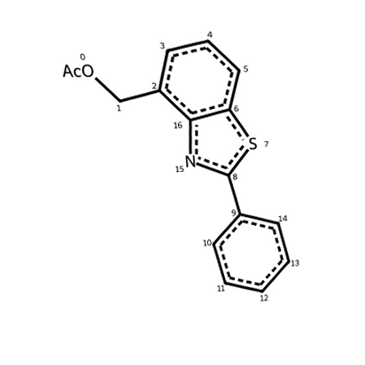 CC(=O)OCc1cccc2sc(-c3ccccc3)nc12